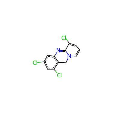 ClC1=CC=CN2Cc3c(Cl)cc(Cl)cc3N=C12